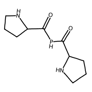 O=C(PC(=O)C1CCCN1)C1CCCN1